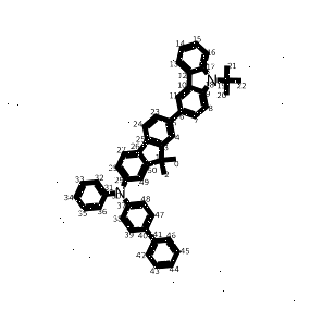 CC1(C)c2cc(-c3ccc4c(c3)c3ccccc3n4C(C)(C)C)ccc2-c2ccc(N(c3ccccc3)c3ccc(-c4ccccc4)cc3)cc21